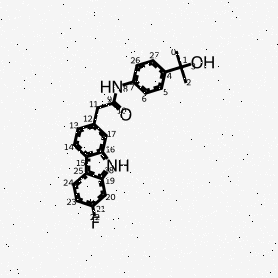 CC(C)(O)c1ccc(NC(=O)Cc2ccc3c(c2)[nH]c2cc(F)ccc23)cc1